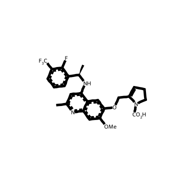 COc1cc2nc(C)cc(N[C@H](C)c3cccc(C(F)(F)F)c3F)c2cc1OCC1=CCCN1C(=O)O